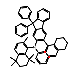 Cc1ccc2c(c1N(c1ccccc1)c1cc3c(cc1-c1cccc4c1CCCC4)-c1ccccc1C3(c1ccccc1)c1ccccc1)C(C)(C)CCC2(C)C